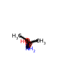 CCCCCCCCCCOP(=O)(O)OCC1O[C@@H](n2ccc(N)nc2=O)C(F)(F)[C@@H]1OC(=O)CCCCCCCCCC